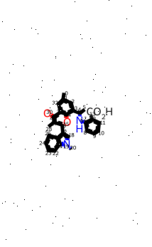 Cc1cc(C(C)Nc2ccccc2C(=O)O)c2oc(-c3cn(C)c4ccccc34)c(C)c(=O)c2c1